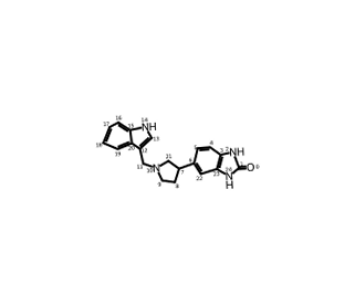 O=c1[nH]c2ccc(C3CCN(Cc4c[nH]c5ccccc45)C3)cc2[nH]1